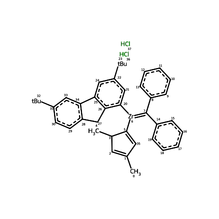 CC1=CC(C)[C]([Zr](=[C](c2ccccc2)c2ccccc2)[c]2cc(C(C)(C)C)cc3c2Cc2ccc(C(C)(C)C)cc2-3)=C1.Cl.Cl